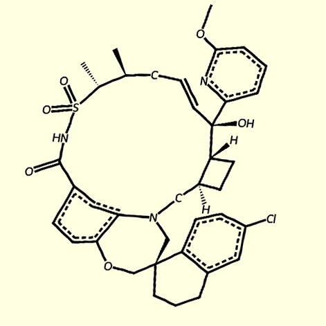 COc1cccc([C@@]2(O)/C=C/C[C@H](C)[C@@H](C)S(=O)(=O)NC(=O)c3ccc4c(c3)N(C[C@@H]3CC[C@H]32)C[C@@]2(CCCc3cc(Cl)ccc32)CO4)n1